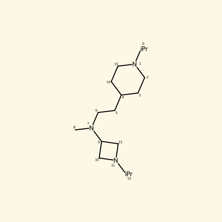 CC(C)N1CCC(CCN(C)C2CN(C(C)C)C2)CC1